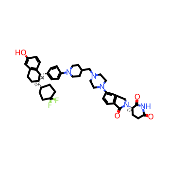 O=C1CC[C@H](N2Cc3cc(N4CCN(CC5CCN(c6ccc([C@H]7c8ccc(O)cc8CC[C@H]7C7CCC(F)(F)CC7)cc6)CC5)CC4)ccc3C2=O)C(=O)N1